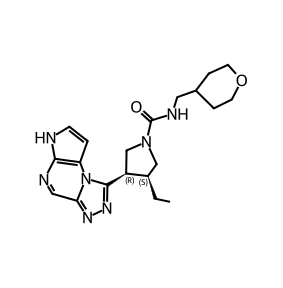 CC[C@@H]1CN(C(=O)NCC2CCOCC2)C[C@@H]1c1nnc2cnc3[nH]ccc3n12